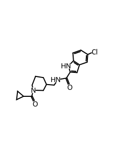 O=C(NCC1CCCN(C(=O)C2CC2)C1)c1cc2cc(Cl)ccc2[nH]1